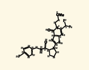 COCCn1c(C(F)F)nc2sc(N3CCCC3C(=O)NCc3ccc(F)cc3)nc2c1=O